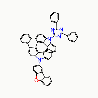 c1ccc(-c2nc(-c3ccccc3)nc(-n3c4ccccc4c4c(-c5c(-c6ccccc6)ccc6c5c5ccccc5n6-c5ccc6oc7ccccc7c6c5)cccc43)n2)cc1